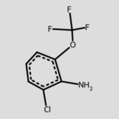 Nc1c(Cl)cccc1OC(F)(F)F